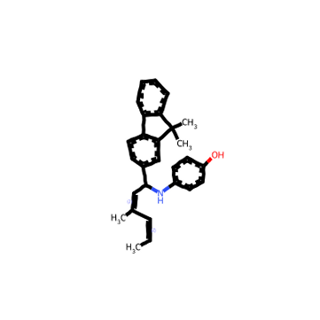 C/C=C\C(C)=C/C(Nc1ccc(O)cc1)c1ccc2c(c1)C(C)(C)c1ccccc1-2